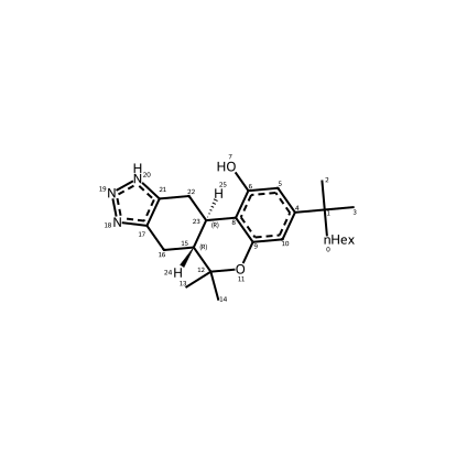 CCCCCCC(C)(C)c1cc(O)c2c(c1)OC(C)(C)[C@@H]1Cc3nn[nH]c3C[C@@H]21